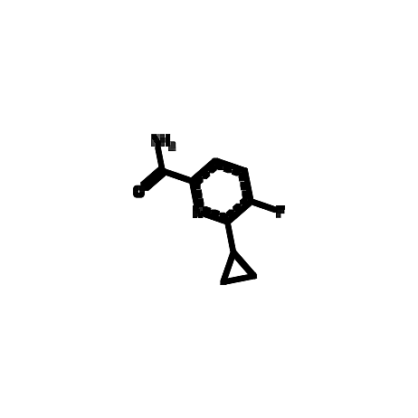 NC(=O)c1ccc(F)c(C2CC2)n1